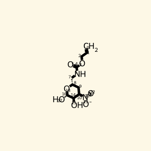 C=CCOC(=O)NC[C@@H]1CC([N+](=O)[O-])C(O)[C@H](O)O1